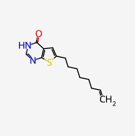 C=CCCCCCCc1cc2c(=O)[nH]cnc2s1